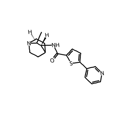 C[C@H]1[C@H](NC(=O)c2ccc(-c3cccnc3)s2)C2CCN1CC2